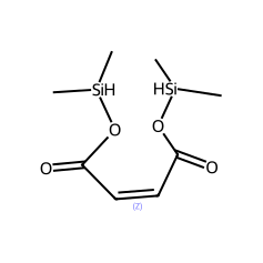 C[SiH](C)OC(=O)/C=C\C(=O)O[SiH](C)C